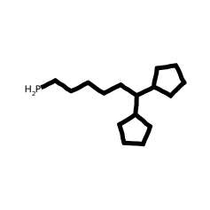 PCCCCCC(C1CCCC1)C1CCCC1